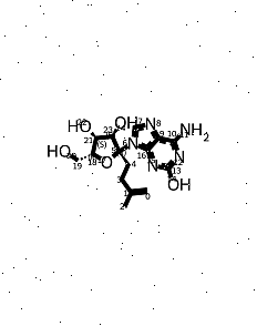 C=C(C)CC[C@@]1(n2cnc3c(N)nc(O)nc32)O[C@H](CO)[C@@H](O)[C@H]1O